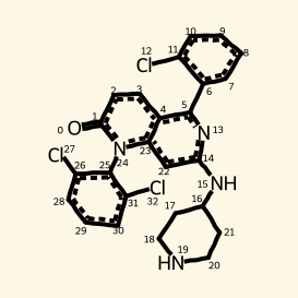 O=c1ccc2c(-c3ccccc3Cl)nc(NC3CCNCC3)cc2n1-c1c(Cl)cccc1Cl